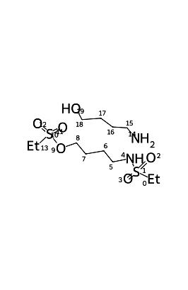 CCS(=O)(=O)NCCCCOS(=O)(=O)CC.NCCCCO